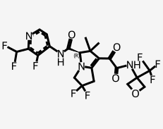 CC1(C)C(C(=O)C(=O)NC2(C(F)(F)F)COC2)=C2CC(F)(F)CN2[C@H]1C(=O)Nc1ccnc(C(F)F)c1F